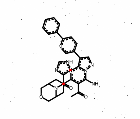 CC(=O)c1c(C2CC3COCC(C2)N3C(=O)c2nc[nH]n2)nc2c(-c3ccc(-c4ccccc4)nc3)cnn2c1N